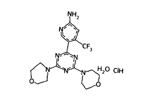 Cl.Nc1cc(C(F)(F)F)c(-c2nc(N3CCOCC3)nc(N3CCOCC3)n2)cn1.O